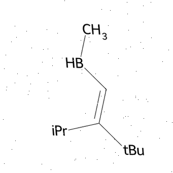 CB/C=C(\C(C)C)C(C)(C)C